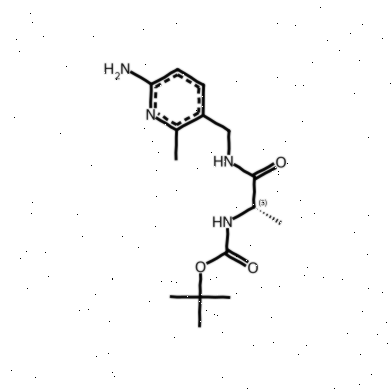 Cc1nc(N)ccc1CNC(=O)[C@H](C)NC(=O)OC(C)(C)C